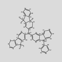 CC1(C)C2=C(CCC=C2)c2ccc(N(C3=CCC4(C)C(=C3)C(C)(C)c3ccccc34)c3ccc4c(c3)c3ccccc3n4-c3ccccc3)cc21